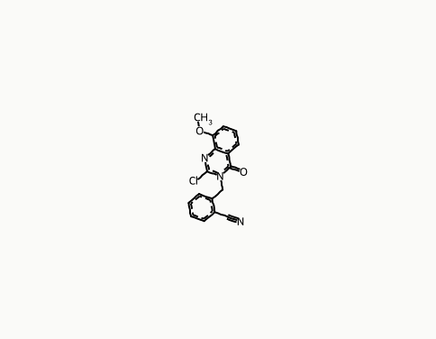 COc1cccc2c(=O)n(Cc3ccccc3C#N)c(Cl)nc12